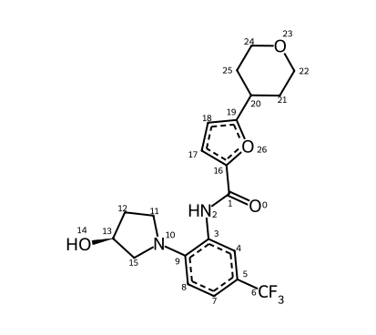 O=C(Nc1cc(C(F)(F)F)ccc1N1CC[C@H](O)C1)c1ccc(C2CCOCC2)o1